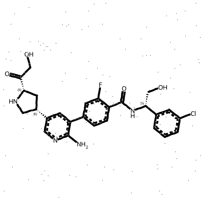 Nc1ncc([C@@H]2CN[C@H](C(=O)CO)C2)cc1-c1ccc(C(=O)N[C@H](CO)c2cccc(Cl)c2)c(F)c1